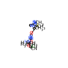 Cc1sc2c(c1C)C(c1ccc(CCCOC3CCN(c4ncc(C(=O)NC5C(C)(C)C(Oc6ccc(C#N)c(Cl)c6)C5(C)C)cn4)CC3)cc1)=N[C@@H](Cc1ccccn1)c1nnc(C)n1-2